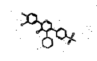 CS(=O)(=O)c1ccc(-c2cnn(-c3ccc(F)c(Cl)c3)c(=O)c2C2CCCCC2)cc1